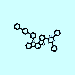 c1ccc(-c2ccc(-c3cccc(-n4c5ccccc5c5ccc6oc7c(-c8nc(-c9ccccc9)nc(-c9ccccc9)n8)cccc7c6c54)c3)cc2)cc1